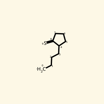 [CH2]CCCC1CCCC1=S